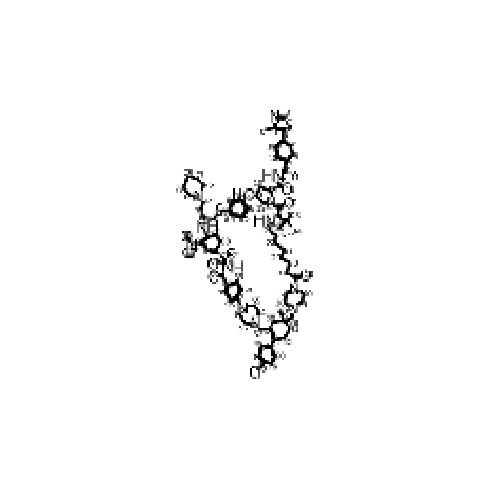 Cc1ncsc1-c1ccc([C@H](C)NC(=O)[C@@H]2C[C@@H](O)CN2C(=O)[C@@H](NCCCCCCCC(=O)N2CCN(CC3(C)CCC(c4ccc(Cl)cc4)=C(CN4CCN(c5ccc(C(=O)NS(=O)(=O)c6ccc(N[C@H](CCN7CCCCC7)CSc7ccccc7)c([N+](=O)[O-])c6)cc5)CC4)C3)CC2)C(C)(C)C)cc1